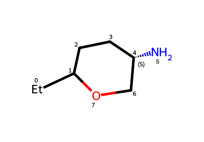 CCC1CC[C@H](N)CO1